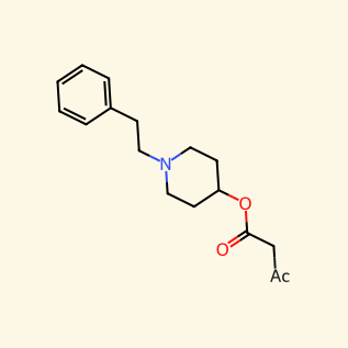 CC(=O)CC(=O)OC1CCN(CCc2ccccc2)CC1